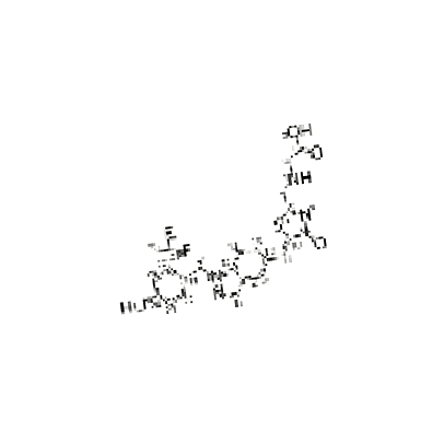 O=C(O)CNCC1=NC(=O)/C(=C/c2ccc3c(cnn3Cc3ccc(O)cc3C(F)(F)F)c2)S1